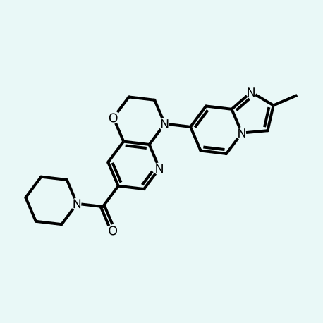 Cc1cn2ccc(N3CCOc4cc(C(=O)N5CCCCC5)cnc43)cc2n1